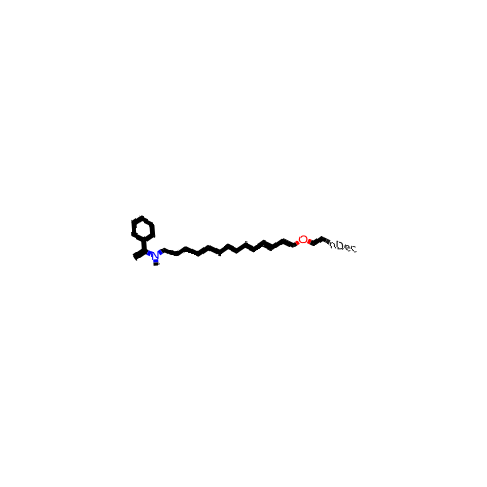 C=C(C1CCCCC1)N(C)CCCCCCCCCCCCCCOCCCCCCCCCCCC